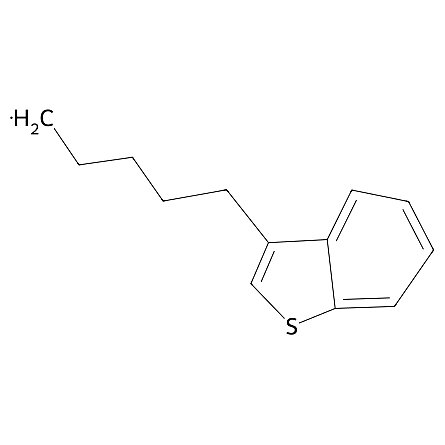 [CH2]CCCCc1csc2ccccc12